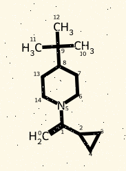 C=C(C1CC1)N1CCC(C(C)(C)C)CC1